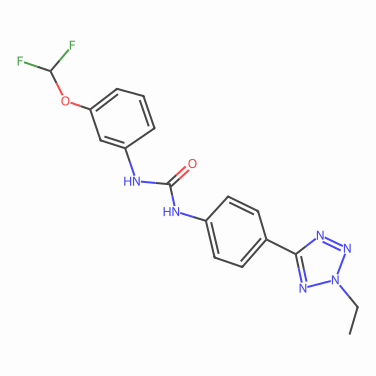 CCn1nnc(-c2ccc(NC(=O)Nc3cccc(OC(F)F)c3)cc2)n1